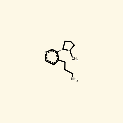 CN1CCC[C@H]1c1cnccc1CCCN